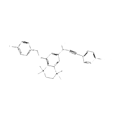 CC1(C)CCC(C)(C)c2c(SCc3ccc(F)cc3)cc(C(O)C#Cc3ccc(C(=O)O)cc3)cc21